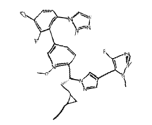 CO[n+]1cc(-c2c(-n3cnnn3)ccc(Cl)c2F)ccc1[C@@H](CC1CC1C)n1cc(-c2c(F)nnn2C)cn1